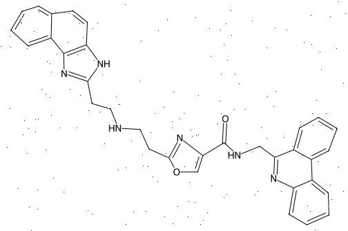 O=C(NCc1nc2ccccc2c2ccccc12)c1coc(CCNCCc2nc3c(ccc4ccccc43)[nH]2)n1